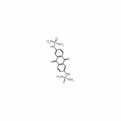 NP(N)(=O)Nc1ccc2c(c1)C(=O)c1ccc(NP(N)(N)=O)cc1C2=O